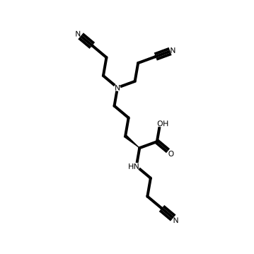 N#CCCN[C@@H](CCCN(CCC#N)CCC#N)C(=O)O